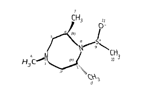 C[C@@H]1CN(C)C[C@@H](C)N1[S+](C)[O-]